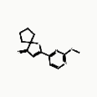 CSc1nccc(C2=CC(=O)C3(CCCC3)O2)n1